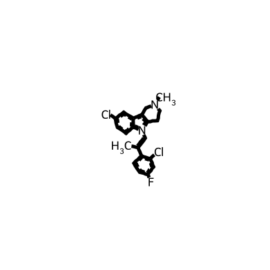 C/C(=C\n1c2c(c3cc(Cl)ccc31)CN(C)CC2)c1ccc(F)cc1Cl